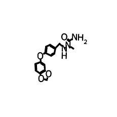 CN(NCc1ccc(Oc2ccc3c(c2)OCO3)cc1)C(N)=O